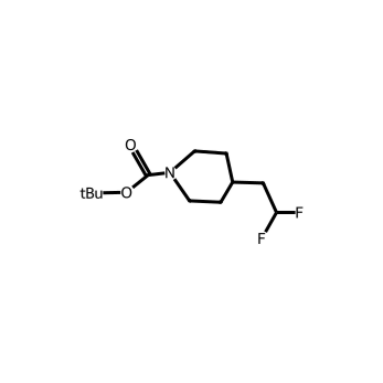 CC(C)(C)OC(=O)N1CCC(CC(F)F)CC1